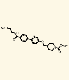 COCCNC(=O)c1ccc(-c2ccc(OCC3CCN(C(=O)OC(C)C)CC3)cn2)cc1